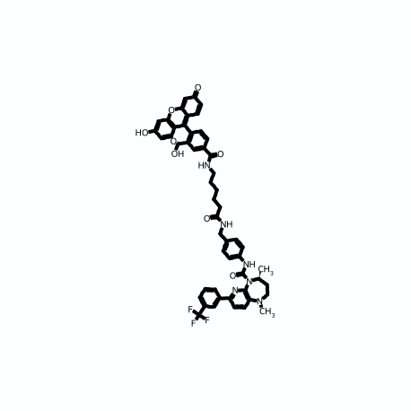 C[C@@H]1CCN(C)c2ccc(-c3cccc(C(F)(F)F)c3)nc2N1C(=O)Nc1ccc(CNC(=O)CCCCCNC(=O)c2ccc(-c3c4ccc(=O)cc-4oc4cc(O)ccc34)c(C(=O)O)c2)cc1